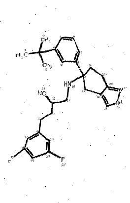 CC(C)(C)c1cccc(C2(NCC(O)CCc3cc(F)cc(F)c3)CCc3n[nH]cc3C2)c1